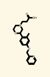 Cc1cc(OCc2ccccn2)ccc1C1CN(CCC(=O)O)CCO1